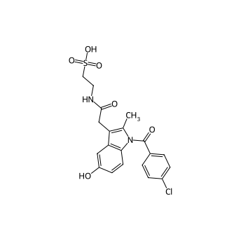 Cc1c(CC(=O)NCCS(=O)(=O)O)c2cc(O)ccc2n1C(=O)c1ccc(Cl)cc1